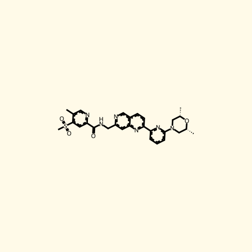 Cc1cnc(C(=O)NCc2cc3nc(-c4cccc(N5C[C@@H](C)O[C@@H](C)C5)n4)ccc3cn2)cc1S(C)(=O)=O